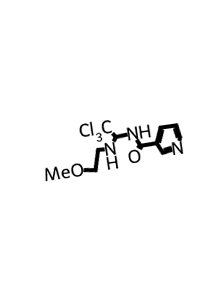 COCCNC(NC(=O)c1cccnc1)C(Cl)(Cl)Cl